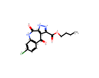 CCCCOC(=O)c1n[nH]c2c(=O)[nH]c3cc(Cl)ccc3c(=O)c12